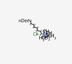 CCCCCCCCCCCCCCCCCC[N+](C)(C)[Si](C)(C)C.[Cl-]